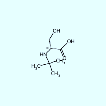 CC(C)(C)N[C@H](CO)C(=O)O